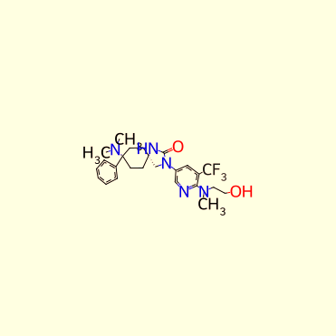 CN(CCO)c1ncc(N2C[C@]3(CC[C@@](c4ccccc4)(N(C)C)CC3)NC2=O)cc1C(F)(F)F